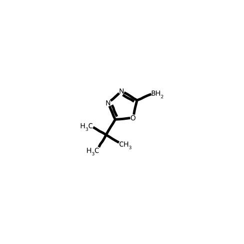 Bc1nnc(C(C)(C)C)o1